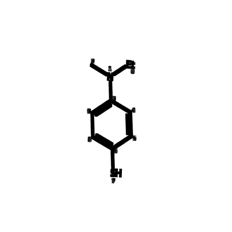 CCN(C)c1ccc(S)cc1